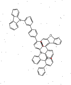 c1ccc(-c2ccccc2-c2ccccc2N(c2ccc(-c3ccc(-c4cccc(-n5c6ccccc6c6ccccc65)c4)cc3)cc2)c2ccccc2-c2cccc3oc4ccccc4c23)cc1